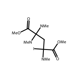 CNC(I)(CC(NC)(NC)C(=O)OC)C(=O)OC